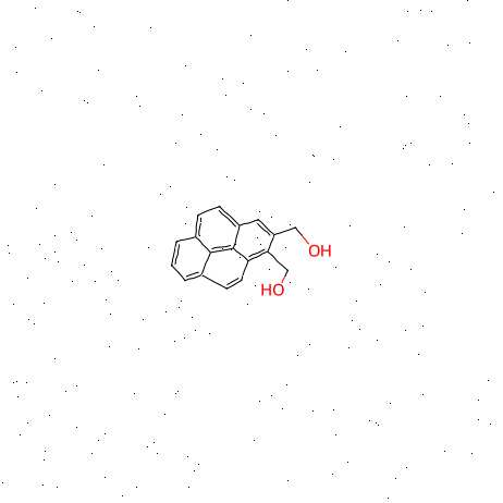 OCc1cc2ccc3cccc4ccc(c1CO)c2c34